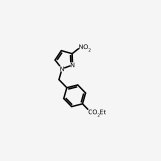 CCOC(=O)c1ccc(Cn2ccc([N+](=O)[O-])n2)cc1